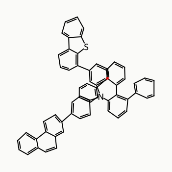 c1ccc(-c2ccccc2-c2c(-c3ccccc3)cccc2N(c2ccc(-c3ccc4c(ccc5ccccc54)c3)cc2)c2cccc(-c3cccc4c3sc3ccccc34)c2)cc1